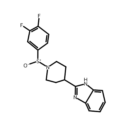 [O-][S+](c1ccc(F)c(F)c1)N1CCC(c2nc3ccccc3[nH]2)CC1